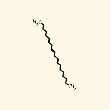 [CH2]CCCCCC/C=C/C/C=C/C/C=C/CCCCC